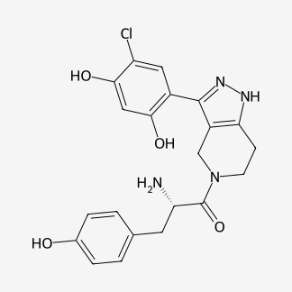 N[C@@H](Cc1ccc(O)cc1)C(=O)N1CCc2[nH]nc(-c3cc(Cl)c(O)cc3O)c2C1